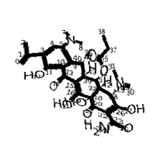 C=C(C)c1cc(N(C)C)c2c(c1O)C(=O)C1=C(O)[C@]3(O)C(=O)C(C(N)=O)=C(O)[C@@H](N(C)C)[C@@H]3[C@@H](OC(=O)CC)[C@@H]1[C@H]2C